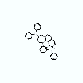 CC1(N(c2ccccc2)c2ccccc2)C=Cc2ccc3c4c2C1C=CC4=CC=C(N(c1ccccc1)c1ccccc1)C3